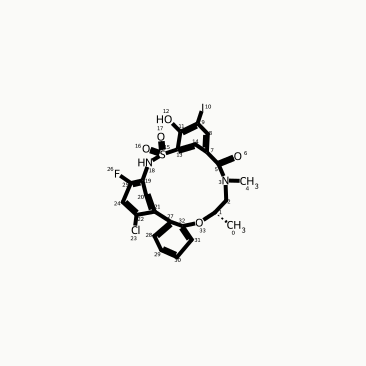 C[C@H]1CN(C)C(=O)c2cc(I)c(O)c(c2)S(=O)(=O)Nc2cc(c(Cl)cc2F)-c2ccccc2O1